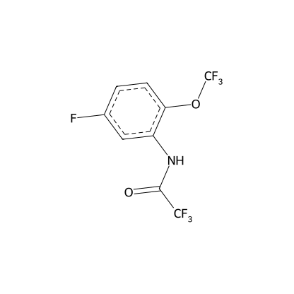 O=C(Nc1cc(F)ccc1OC(F)(F)F)C(F)(F)F